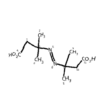 CC(C)(CC(=O)O)N=NC(C)(C)CC(=O)O